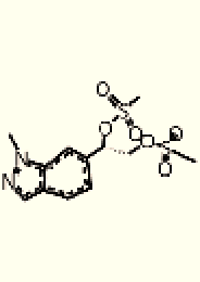 Cn1ncc2ccc([C@@H](COS(C)(=O)=O)OS(C)(=O)=O)cc21